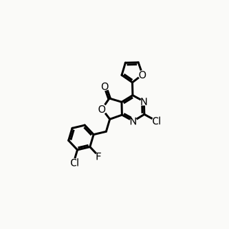 O=C1OC(Cc2cccc(Cl)c2F)c2nc(Cl)nc(-c3ccco3)c21